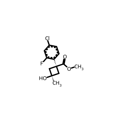 COC(=O)[C@]1(c2ccc(Cl)cc2F)C[C@](C)(O)C1